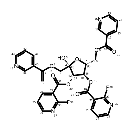 C=C(OC[C@@]1(O)O[C@H](COC(=O)c2cccnc2)[C@@H](OC(=O)c2cccnc2F)[C@@H]1OC(=O)c1cccnc1F)c1cccnc1